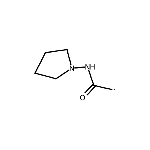 [CH2]C(=O)NN1CCCC1